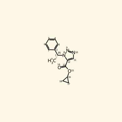 C[C@H](c1ccccc1)n1nncc1C(=O)OC1CC1